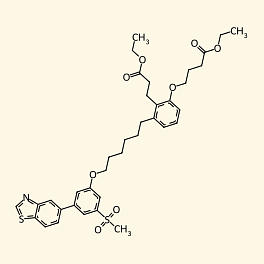 CCOC(=O)CCCOc1cccc(CCCCCCOc2cc(-c3ccc4scnc4c3)cc(S(C)(=O)=O)c2)c1CCC(=O)OCC